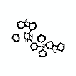 c1ccc(-c2nc(-c3cccc([Si](c4ccccc4)(c4ccccc4)c4ccc5c(c4)oc4ccccc45)c3)nc(-c3cccc4oc5ccccc5c34)n2)cc1